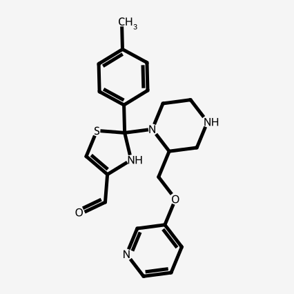 Cc1ccc(C2(N3CCNCC3COc3cccnc3)NC(C=O)=CS2)cc1